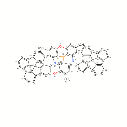 Cc1cc2oc3cc(C)cc4c3p3c2c(c1)n(-c1ccc2c(c1)C1(c5ccccc5-c5ccccc51)c1ccccc1-2)c1cc(C)c2oc5cc6c(cc5n4c2c13)C1(c2ccccc2-c2ccccc21)c1ccccc1-6